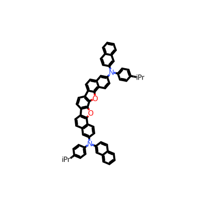 CC(C)c1ccc(N(c2ccc3ccccc3c2)c2ccc3c(ccc4c5ccc6c7ccc8cc(N(c9ccc(C(C)C)cc9)c9ccc%10ccccc%10c9)ccc8c7oc6c5oc34)c2)cc1